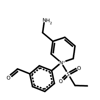 CCS(=O)(=O)[N+]1(c2cccc(C=O)c2)C=C(CN)C=CC1